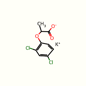 CC(Oc1ccc(Cl)cc1Cl)C(=O)[O-].[K+]